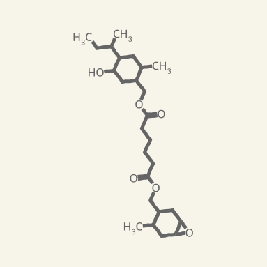 CCC(C)C1CC(C)C(COC(=O)CCCCC(=O)OCC2CC3OC3CC2C)CC1O